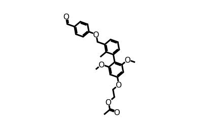 COc1cc(OCCOC(C)=O)cc(OC)c1-c1cccc(COc2ccc(C=O)cc2)c1C